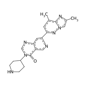 Cc1cn2nc(-c3cc4ncn(C5CCNCC5)c(=O)c4cn3)cc(C)c2n1